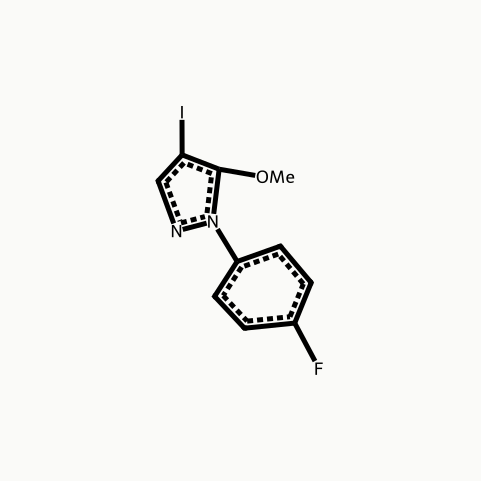 COc1c(I)cnn1-c1ccc(F)cc1